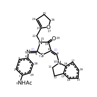 CC(=O)Nc1ccc(/N=C2\S/C(=C\N3CCc4ccccc43)C(=O)N2CC2=CCCO2)cc1